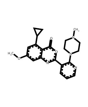 COc1cc(C2CC2)c2c(=O)oc(-c3cccnc3N3CCN(C)CC3)nc2c1